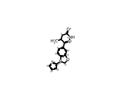 CC1CC(=O)NN=C1c1ccc2c(c1)OCN2c1cccs1